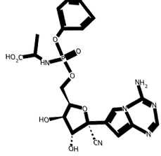 CC(NP(=O)(OC[C@H]1O[C@@](C#N)(c2cc3ncnc(N)n3c2)[C@H](O)[C@H]1O)Oc1ccccc1)C(=O)O